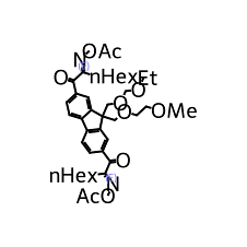 CCCCCC/C(=N\OC(C)=O)C(=O)c1ccc2c(c1)C(COCCOC)(COCOCC)c1cc(C(=O)/C(CCCCCC)=N/OC(C)=O)ccc1-2